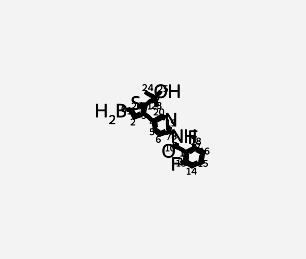 Bc1cc(-c2ccc(NC(=O)c3c(F)cccc3F)nc2)c(C(C)(C)O)s1